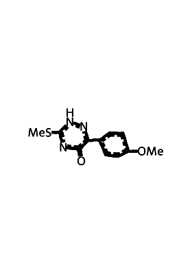 COc1ccc(-c2n[nH]c(SC)nc2=O)cc1